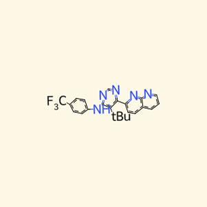 CC(C)(C)c1c(Nc2ccc(C(F)(F)F)cc2)ncnc1-c1ccc2cccnc2n1